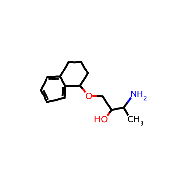 CC(N)C(O)COC1CCCc2ccccc21